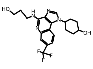 OCCCNc1nc2cc(C(F)(F)F)ccc2c2c1ncn2C1CCC(O)CC1